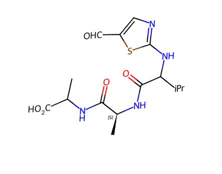 CC(NC(=O)[C@H](C)NC(=O)C(Nc1ncc(C=O)s1)C(C)C)C(=O)O